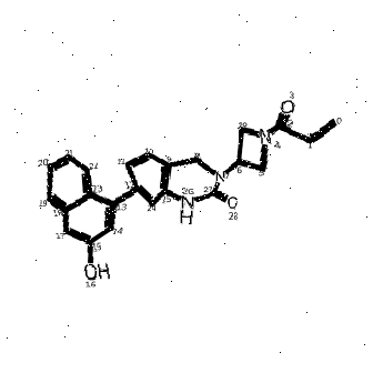 C=CC(=O)N1CC(N2Cc3ccc(-c4cc(O)cc5ccccc45)cc3NC2=O)C1